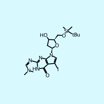 CN(C)/C=N\c1nc2c(c(I)cn2[C@H]2CC(O)[C@@H](CO[Si](C)(C)C(C)(C)C)O2)c(=O)[nH]1